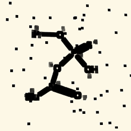 CC(C)OP(O)(=S)OS(=O)C(C)(C)C